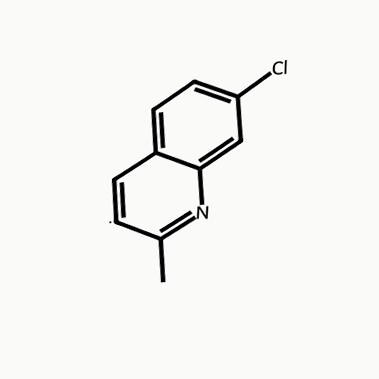 Cc1[c]cc2ccc(Cl)cc2n1